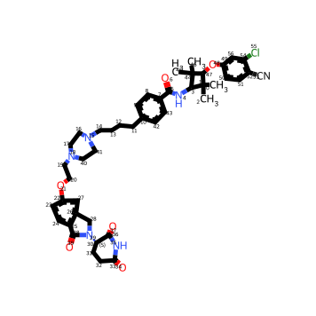 CC1(C)C(NC(=O)c2ccc(CCCCN3CCN(CCOc4ccc5c(c4)CN([C@H]4CCC(=O)NC4=O)C5=O)CC3)cc2)C(C)(C)C1Oc1ccc(C#N)c(Cl)c1